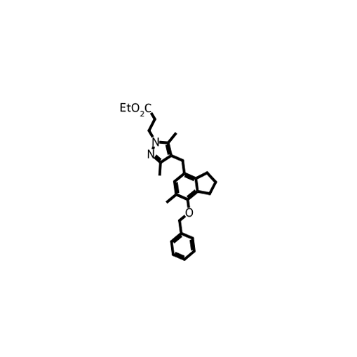 CCOC(=O)CCn1nc(C)c(Cc2cc(C)c(OCc3ccccc3)c3c2CCC3)c1C